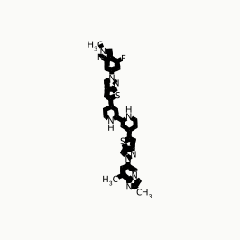 Cc1cn2cc(-n3cc4sc(C5CCNC(C6CC(c7cc8cn(-c9cc(F)c%10cn(C)nc%10c9)nc8s7)CCN6)C5)cc4n3)cc(C)c2n1